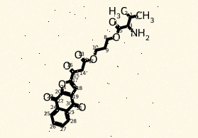 CC(C)C(N)C(=O)OCCCOC(=O)CC(=O)c1cc2c(o1)C(=O)c1ccccc1C2=O